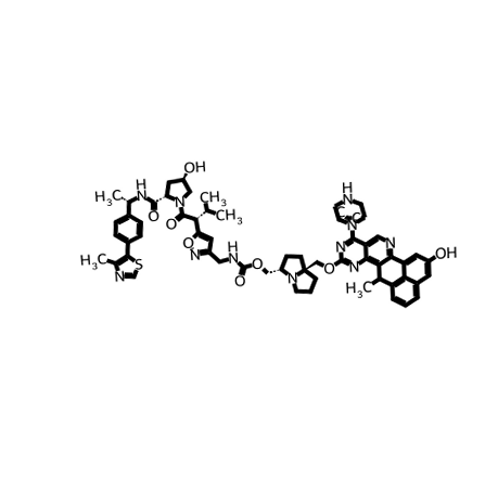 Cc1ncsc1-c1ccc([C@H](C)NC(=O)[C@@H]2C[C@@H](O)CN2C(=O)[C@@H](c2cc(CNC(=O)OC[C@@H]3CC[C@]4(COc5nc(N6CC7CCCC6CN7)c6cnc7c(c6n5)C(C)c5cccc6cc(O)cc-7c56)CCCN34)no2)C(C)C)cc1